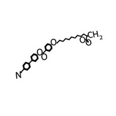 C=C1CC(CCCCCCCCOc2ccc(C(=O)Oc3ccc(-c4ccc(C#N)cc4)cc3)cc2)OC1=O